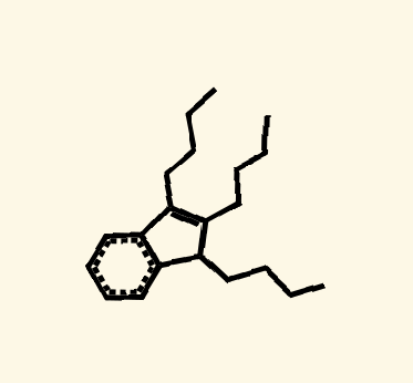 CCCC[C]1C(CCCC)=C(CCCC)c2ccccc21